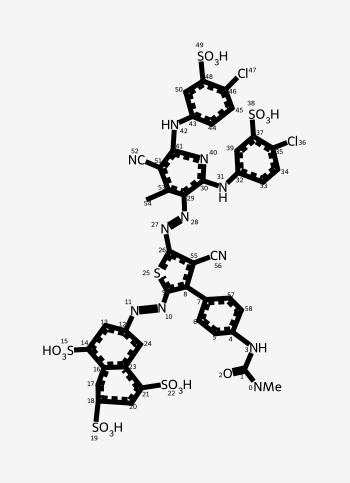 CNC(=O)Nc1ccc(-c2c(N=Nc3cc(S(=O)(=O)O)c4cc(S(=O)(=O)O)cc(S(=O)(=O)O)c4c3)sc(N=Nc3c(Nc4ccc(Cl)c(S(=O)(=O)O)c4)nc(Nc4ccc(Cl)c(S(=O)(=O)O)c4)c(C#N)c3C)c2C#N)cc1